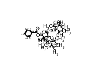 CC(C)[Si](OC[C@H]1OC(OC(=O)c2ccccc2)[C@@](F)(Br)[C@@H]1O[Si](C(C)C)(C(C)C)C(C)C)(C(C)C)C(C)C